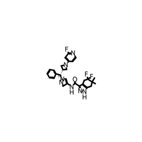 CC1(C)Cc2[nH]nc(C(=O)Nc3cnn([C@H](c4ccccc4)C4CN(c5ccnc(F)c5)C4)c3)c2CC1(F)F